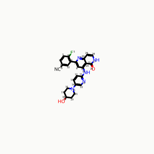 N#Cc1ccc(F)c(-c2cc(Nc3ccc(N4CCC(O)CC4)cn3)c3c(=O)[nH]ccc3n2)c1